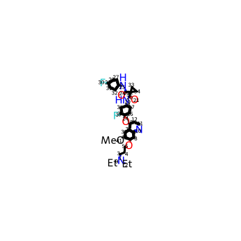 CCN(CC)CCCOc1cc2nccc(Oc3ccc(NC(=O)C4(C(=O)Nc5ccc(F)cc5)CC4)cc3F)c2cc1OC